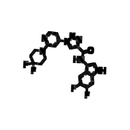 O=C(Nc1c[nH]c2cc(F)c(F)cc12)c1cn(-c2ccnc(N3CCC(F)(F)CC3)c2)nn1